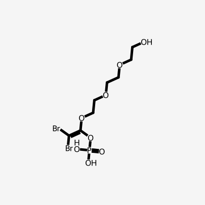 O=P(O)(O)OC(OCCOCCOCCO)=C(Br)Br